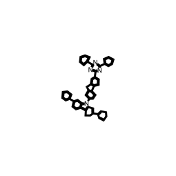 C1=CC(C2=Cc3c(c4ccc(-c5ccccc5)cc4n3-c3ccc4c(c3)Cc3cc(-c5nc(-c6ccccc6)nc(-c6ccccc6)n5)ccc3-4)CC2)=CCC1